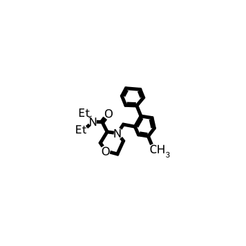 CCN(CC)C(=O)C1COCCN1Cc1cc(C)ccc1-c1ccccc1